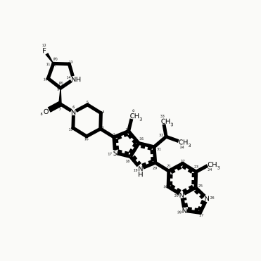 Cc1c(C2CCN(C(=O)[C@H]3C[C@@H](F)CN3)CC2)sc2[nH]c(-c3cc(C)c4ncnn4c3)c(C(C)C)c12